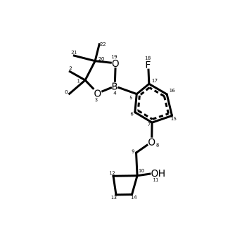 CC1(C)OB(c2cc(OCC3(O)CCC3)ccc2F)OC1(C)C